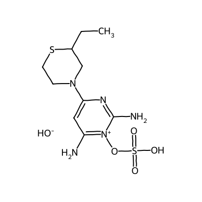 CCC1CN(c2cc(N)[n+](OS(=O)(=O)O)c(N)n2)CCS1.[OH-]